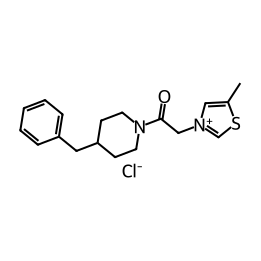 Cc1c[n+](CC(=O)N2CCC(Cc3ccccc3)CC2)cs1.[Cl-]